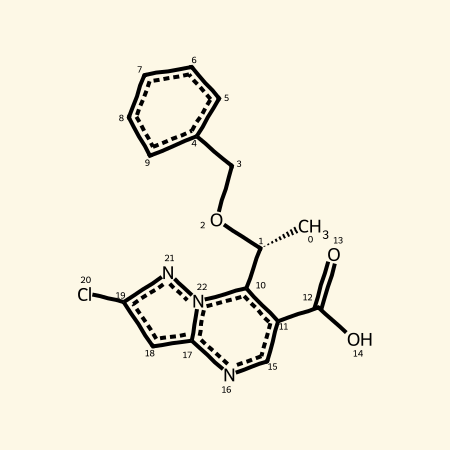 C[C@@H](OCc1ccccc1)c1c(C(=O)O)cnc2cc(Cl)nn12